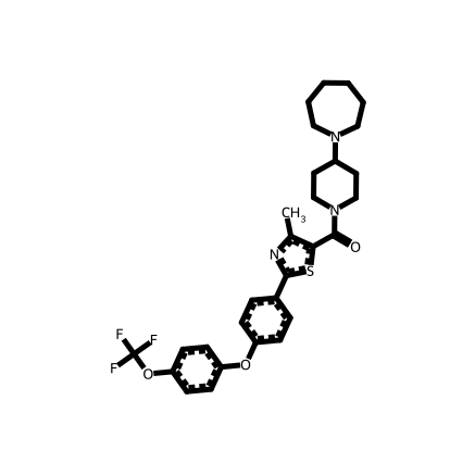 Cc1nc(-c2ccc(Oc3ccc(OC(F)(F)F)cc3)cc2)sc1C(=O)N1CCC(N2CCCCCC2)CC1